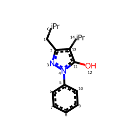 CC(C)Cc1nn(-c2ccccc2)c(O)c1C(C)C